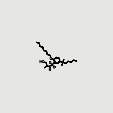 CCCCCCCCOc1ccc(C(C)(C)CCCCC)cc1S(=O)(=O)NC(C)CO